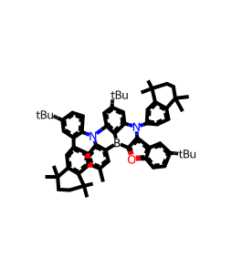 Cc1ccc2c(c1)B1c3oc4ccc(C(C)(C)C)cc4c3N(c3ccc4c(c3)C(C)(C)CCC4(C)C)c3cc(C(C)(C)C)cc(c31)N2c1ccc(C(C)(C)C)cc1-c1ccc2c(c1)C(C)(C)CCC2(C)C